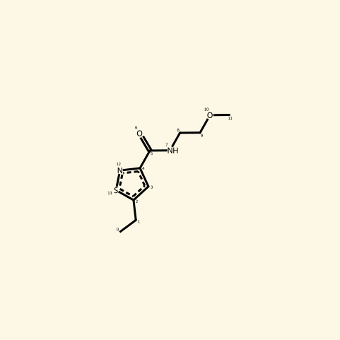 CCc1cc(C(=O)NCCOC)ns1